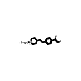 CCCCCCC[SiH]1CCC(CCc2ccc(C(F)=CF)cc2)CC1